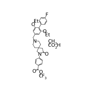 CC(=O)O.CCOc1cc(CN2CCC3(CC2)CC(=O)N(c2ccc(C(=O)OC(F)(F)F)cc2)C3)cc(OCC)c1-c1ccc(F)cc1